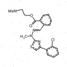 CNCCOC(=O)c1ccccc1/C=N/N(C)c1nc(-c2ccccc2Cl)cs1